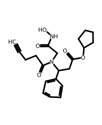 C#CCCC(=O)N(CC(=O)NO)C(CC(=O)OC1CCCC1)c1ccccc1